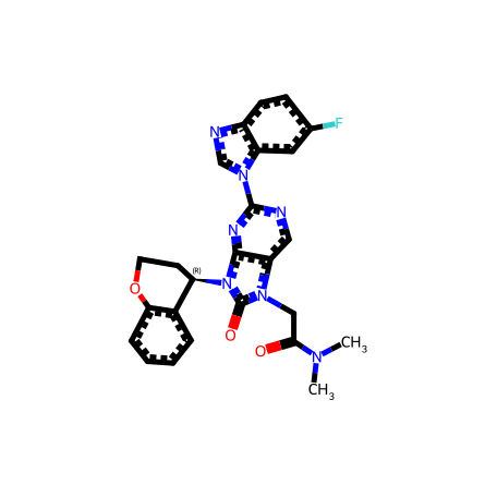 CN(C)C(=O)Cn1c(=O)n([C@@H]2CCOc3ccccc32)c2nc(-n3cnc4ccc(F)cc43)ncc21